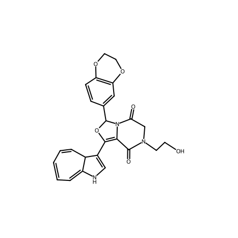 O=C1C2=C(C3=CNC4=CC=CC=CC43)OC(c3ccc4c(c3)OCCO4)N2C(=O)CN1CCO